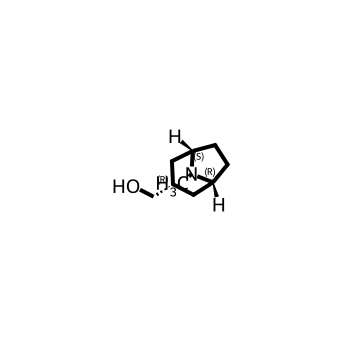 CN1[C@@H]2CC[C@H]1C[C@@H](CO)C2